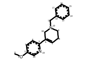 COc1ccc(C2=CCCN(Cc3ccccc3)C2)nc1